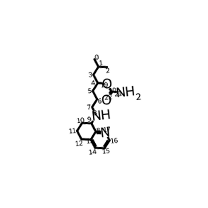 CC(C)CC(CCCNC1CCCc2cccnc21)OC(N)=O